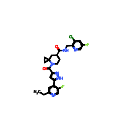 CCc1cc(-c2cc(C(=O)N3CC[C@H](C(=O)NCc4ncc(F)cc4Cl)CC34CC4)n[nH]2)c(F)cn1